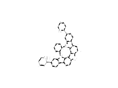 C1=CNC(c2ccc3c4ccc5oc6ccc7c8ccc(-c9ccccn9)cc8n8c9ccccc9n(c3c2)c4c5c6c78)C=C1